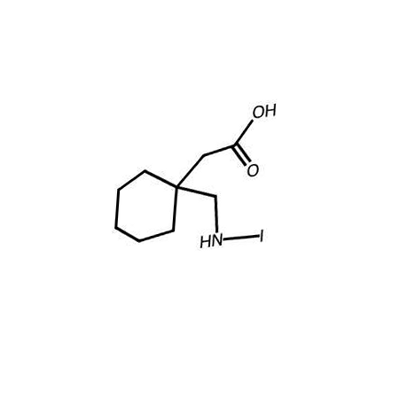 O=C(O)CC1(CNI)CCCCC1